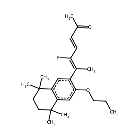 CCCOc1cc2c(cc1C(C)=C(F)C=CC(C)=O)C(C)(C)CCC2(C)C